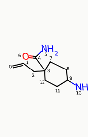 C=CCC1(C(N)=O)CCC(N)CC1